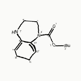 CC(C)(C)OC(=O)N1CCNC2=CCCC=C21